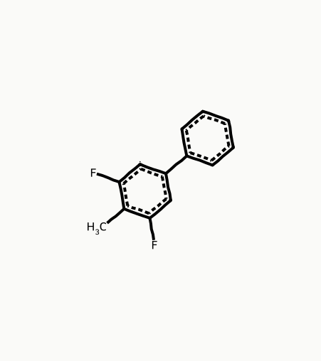 Cc1c(F)[c]c(-c2ccccc2)cc1F